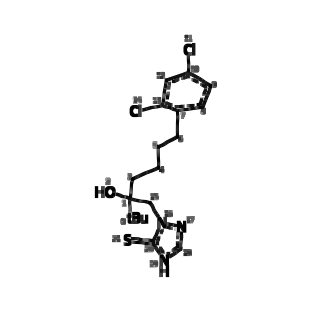 CC(C)(C)C(O)(CCCCc1ccc(Cl)cc1Cl)Cn1nc[nH]c1=S